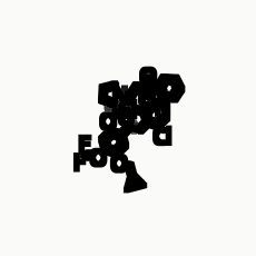 O=C(O[C@@H](Cc1c(Cl)cncc1Cl)c1ccc(OC(F)F)c(OCC2CC2)c1)[C@@H]1CCCN1CCS(=O)(=O)c1ccccc1